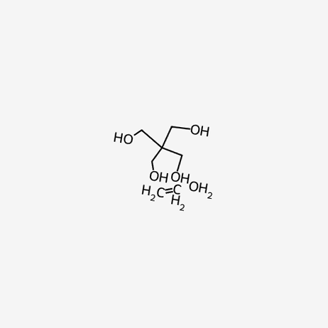 C=C.O.OCC(CO)(CO)CO